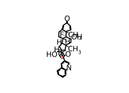 C[C@]12C=CC(=O)C=C1CC[C@H]1[C@@H]3C[C@H]4OC(c5cnc6ccccc6c5)O[C@@]4(C(=O)CO)[C@@]3(C)C[C@H](O)[C@@]12F